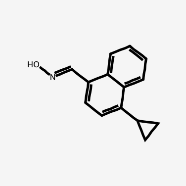 ON=Cc1ccc(C2CC2)c2ccccc12